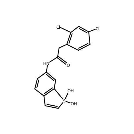 O=C(Cc1ccc(Cl)cc1Cl)Nc1ccc2c(c1)S(O)(O)C=C2